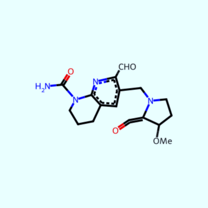 COC1CCN(Cc2cc3c(nc2C=O)N(C(N)=O)CCC3)C1=C=O